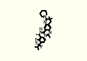 Cc1nc(N[C@H](C)c2cccc(C(F)(F)C(C)C)c2F)c2cc3c(cc2n1)CC(C)(C)C(N1CCCCC1)=N3